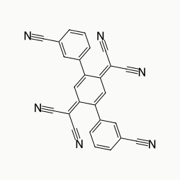 N#CC(C#N)=c1cc(-c2cccc(C#N)c2)c(=C(C#N)C#N)cc1-c1cccc(C#N)c1